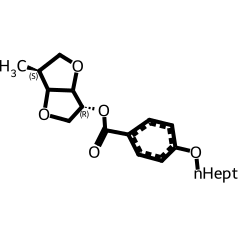 CCCCCCCOc1ccc(C(=O)O[C@@H]2COC3C2OC[C@@H]3C)cc1